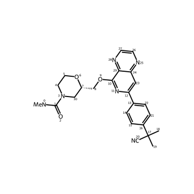 CNC(=O)N1CCO[C@H](COc2nc(-c3ccc(C(C)(C)C#N)cc3)cc3nccnc23)C1